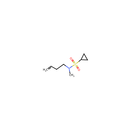 C=CCCN(C)S(=O)(=O)C1CC1